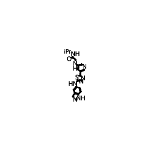 CC(C)NC(=O)CNc1cncc(-c2nnc(Nc3ccc4[nH]ncc4c3)s2)c1